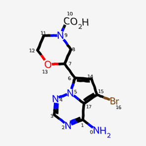 Nc1ncnn2c(C3CN(C(=O)O)CCO3)cc(Br)c12